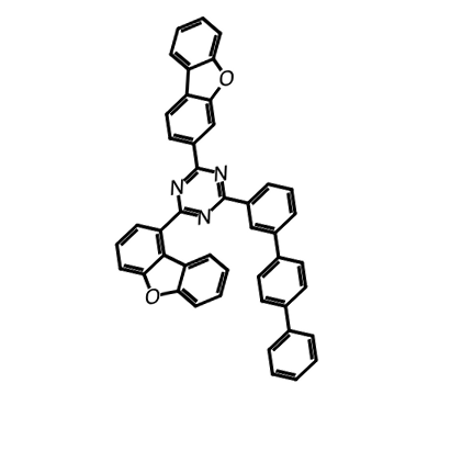 c1ccc(-c2ccc(-c3cccc(-c4nc(-c5ccc6c(c5)oc5ccccc56)nc(-c5cccc6oc7ccccc7c56)n4)c3)cc2)cc1